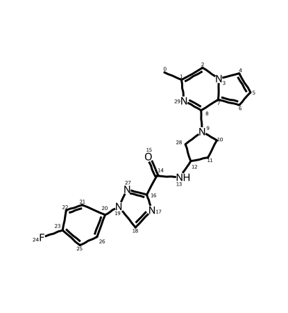 Cc1cn2cccc2c(N2CCC(NC(=O)c3ncn(-c4ccc(F)cc4)n3)C2)n1